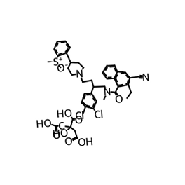 CCc1c(C#N)cc2ccccc2c1C(=O)N(C)CC(CCN1CCC(c2ccccc2[S@+](C)[O-])CC1)c1ccc(Cl)c(Cl)c1.O=C(O)CC(O)(CC(=O)O)C(=O)O